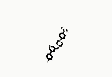 O=[N+]([O-])c1ccc(N2CCN(Cc3cncc(-c4ccc(F)cc4)c3)CC2)cc1